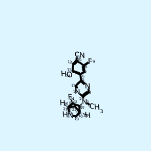 CN(c1cnc(-c2cc(F)c(C#N)cc2O)cn1)[C@@H]1[C@H]2CN[C@H](C2)[C@H]1F